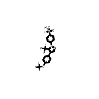 CS(=O)(=O)c1ccc(-n2ncc(-c3ccc(OC(F)(F)F)cc3)c2C(F)(F)F)cc1